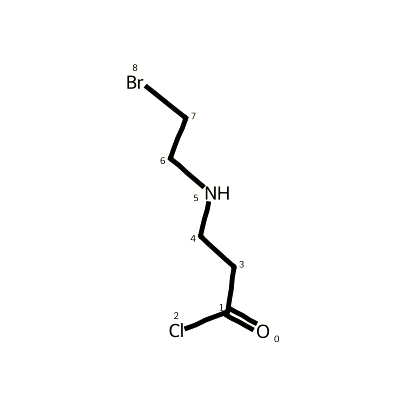 O=C(Cl)CCNCCBr